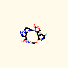 O=C1NCCOc2ncc(F)cc2[C@H]2COC(=O)N2c2ccn3ncc1c3n2